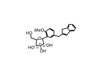 COc1ccc(CC2=Cc3ccccc3C2)cc1C1OC(CO)[C@@H](O)[C@H](O)[C@H]1O